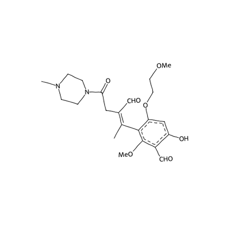 COCCOc1cc(O)c(C=O)c(OC)c1/C(C)=C(\C=O)CC(=O)N1CCN(C)CC1